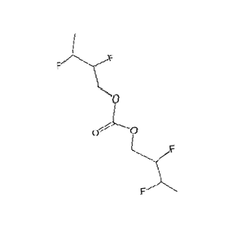 CC(F)C(F)COC(=O)OCC(F)C(C)F